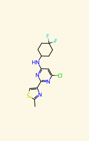 Cc1nc(-c2nc(Cl)cc(NC3CCC(F)(F)CC3)n2)cs1